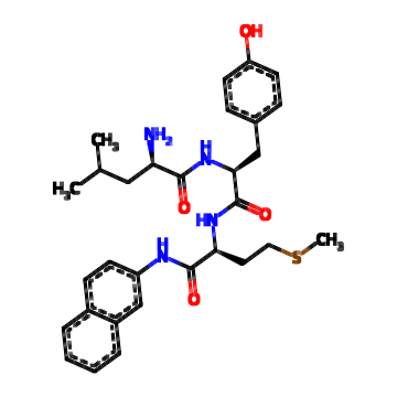 CSCC[C@H](NC(=O)[C@H](Cc1ccc(O)cc1)NC(=O)[C@H](N)CC(C)C)C(=O)Nc1ccc2ccccc2c1